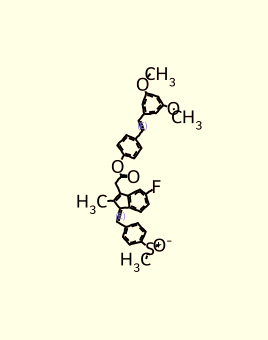 COc1cc(/C=C/c2ccc(OC(=O)CC3=C(C)/C(=C/c4ccc([S+](C)[O-])cc4)c4ccc(F)cc43)cc2)cc(OC)c1